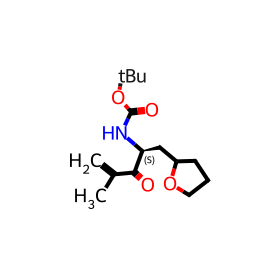 C=C(C)C(=O)[C@H](CC1CCCO1)NC(=O)OC(C)(C)C